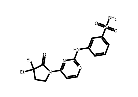 CCC1(CC)CCN(c2ccnc(Nc3cccc(S(N)(=O)=O)c3)n2)C1=O